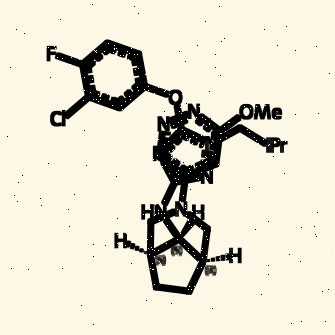 COc1cc(N2C[C@H]3CC[C@@H](C2)[C@@H]3Nc2nc(Oc3ccc(F)c(Cl)c3)n(CC(C)C)n2)cnn1